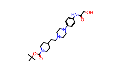 CC(C)(C)OC(=O)N1CCC(CCN2CCN(c3ccc(NC(=O)CO)cc3)CC2)CC1